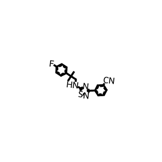 CC(C)(CNc1nc(-c2cccc(C#N)c2)ns1)c1ccc(F)cc1